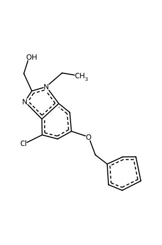 CCn1c(CO)nc2c(Cl)cc(OCc3ccccc3)cc21